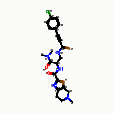 CN1CCc2nc(C(=O)NC(CNC(=S)C#Cc3ccc(Cl)cc3)C(=O)N(C)C)sc2C1